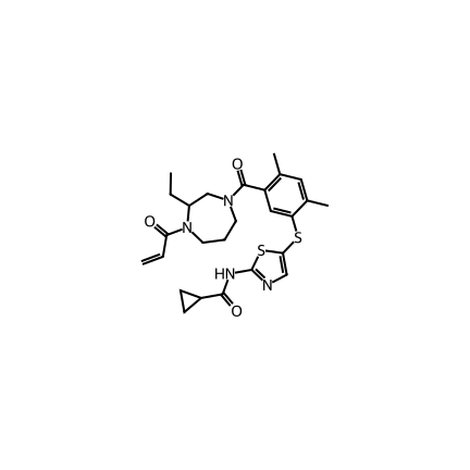 C=CC(=O)N1CCCN(C(=O)c2cc(Sc3cnc(NC(=O)C4CC4)s3)c(C)cc2C)CC1CC